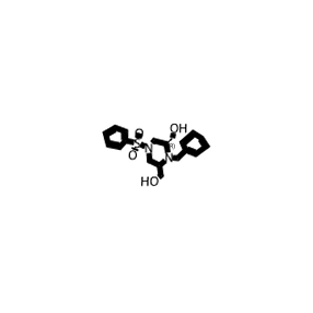 O=S(=O)(c1ccccc1)N1CC(CO)N(Cc2ccccc2)[C@@H](CO)C1